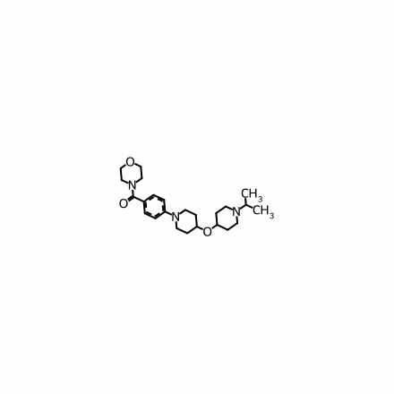 CC(C)N1CCC(OC2CCN(c3ccc(C(=O)N4CCOCC4)cc3)CC2)CC1